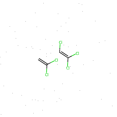 C=C(Cl)Cl.ClC=C(Cl)Cl